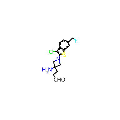 NC1(CCC=O)CN(c2sc3cc(CF)ccc3c2Cl)C1